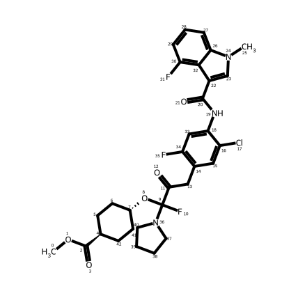 COC(=O)[C@H]1CC[C@H](OC(F)(C(=O)Cc2cc(Cl)c(NC(=O)c3cn(C)c4cccc(F)c34)cc2F)N2CCCC2)CC1